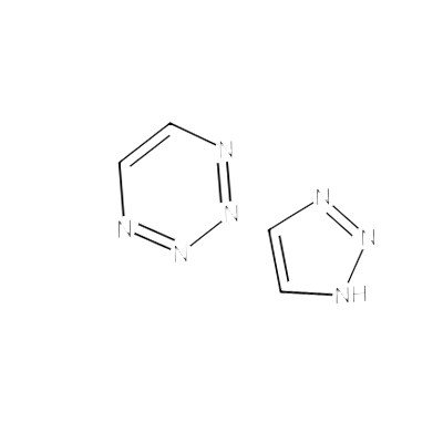 c1c[nH]nn1.c1cnnnn1